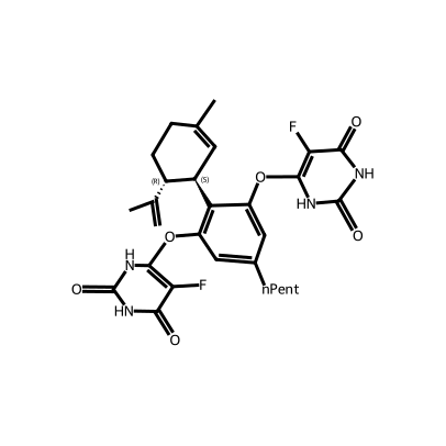 C=C(C)[C@@H]1CCC(C)=C[C@H]1c1c(Oc2[nH]c(=O)[nH]c(=O)c2F)cc(CCCCC)cc1Oc1[nH]c(=O)[nH]c(=O)c1F